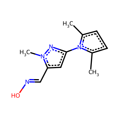 Cc1ccc(C)n1-c1cc(/C=N/O)n(C)n1